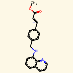 COC(=O)/C=C/c1ccc(CNc2cccc3cccnc23)cc1